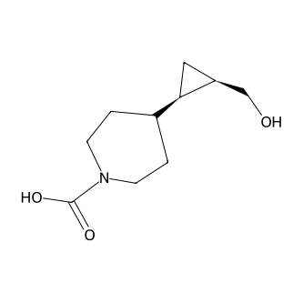 O=C(O)N1CCC([C@H]2C[C@H]2CO)CC1